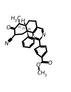 COC(=O)c1ccc(-c2ncc3c(n2)[C@]2(c4ccccc4)CC(C#N)C(=O)[C@@H](C)[C@@H]2CC3)cc1